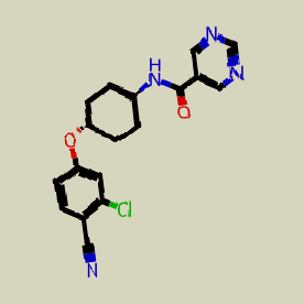 N#Cc1ccc(O[C@H]2CC[C@H](NC(=O)c3cncnc3)CC2)cc1Cl